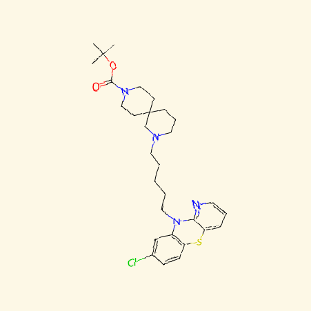 CC(C)(C)OC(=O)N1CCC2(CCCN(CCCCCN3c4cc(Cl)ccc4Sc4cccnc43)C2)CC1